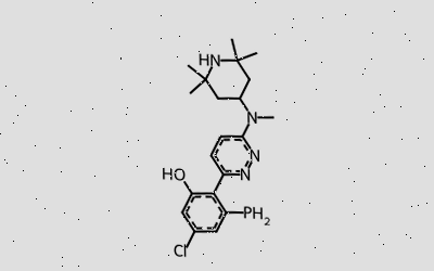 CN(c1ccc(-c2c(O)cc(Cl)cc2P)nn1)C1CC(C)(C)NC(C)(C)C1